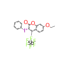 CCOc1ccc2c(C)c([I+]c3ccccc3)c(=O)oc2c1.[F][Sb-]([F])([F])([F])([F])[F]